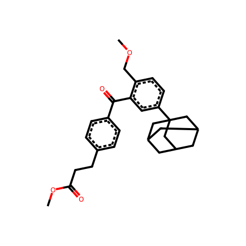 COCc1ccc(C23CC4CC(CC(C4)C2)C3)cc1C(=O)c1ccc(CCC(=O)OC)cc1